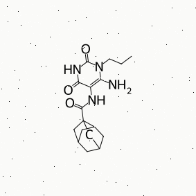 CCCn1c(N)c(NC(=O)C23CC4CC(CC2C4)C3)c(=O)[nH]c1=O